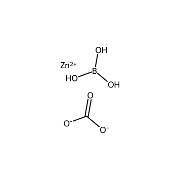 O=C([O-])[O-].OB(O)O.[Zn+2]